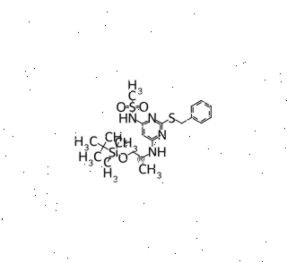 C[C@H](CO[Si](C)(C)C(C)(C)C)Nc1cc(NS(C)(=O)=O)nc(SCc2ccccc2)n1